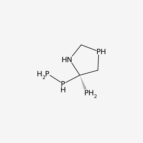 PP[C@]1(P)CPCN1